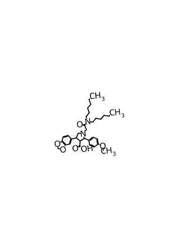 CCCCCCN(CCCCCC)C(=O)CN1CC(c2ccc3c(c2)OCO3)C(C(=O)O)C1c1ccc(OC)cc1